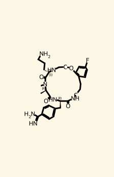 C[C@@H]1C(=O)N[C@H](Cc2ccc(C(=N)N)cc2)C(=O)NCCCc2ccc(F)cc2OCCN[C@@H](CCCN)C(=O)N1C